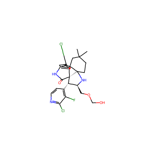 CC1(C)CCC2(CC1)N[C@@H](COCO)[C@H](c1ccnc(Cl)c1F)[C@]21C(=O)Nc2cc(Cl)ccc21